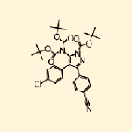 CC(C)(C)OC(=O)N(C(=O)OC(C)(C)C)c1c(-c2ccc(Cl)cc2)c(-c2ccc(C#N)cc2)nn1C(=O)OC(C)(C)C